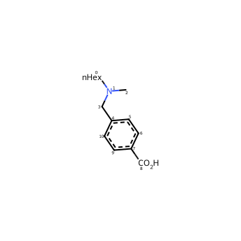 CCCCCCN(C)Cc1ccc(C(=O)O)cc1